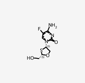 Nc1nc(=O)n([C@@H]2CO[C@H](CO)S2)cc1F